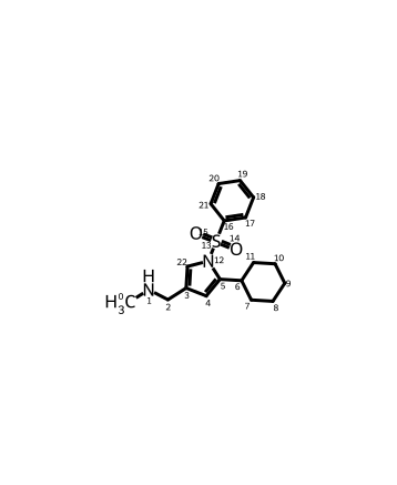 CNCc1cc(C2CCCCC2)n(S(=O)(=O)c2ccccc2)c1